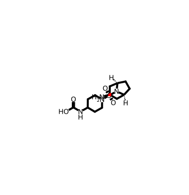 NC1C[C@H]2CC[C@@H](C1)N2S(=O)(=O)N1CCC(NC(=O)O)CC1